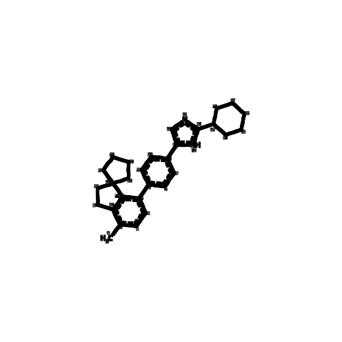 Cc1ccc(-c2ccc(-c3cnc(C4CCCCC4)[nH]3)cc2)c2c1CCC21CCCC1